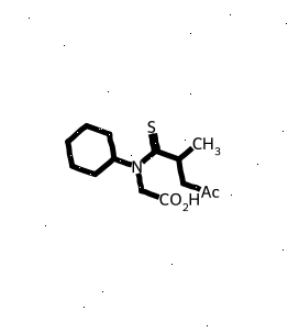 CC(=O)CC(C)C(=S)N(CC(=O)O)C1CCCCC1